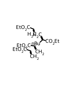 C=C(CCCC)C(=O)OCC.C=CC(=O)OCC.C=CC(=O)OCC.C=CC(=O)OCC